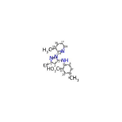 CCc1cc(Nc2ccc(C)cc2C(=O)O)n(-c2ncccc2C)n1